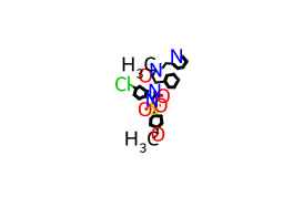 COc1ccc(S(=O)(=O)n2c(=O)n(C(C(=O)N(C)CCc3ccccn3)c3ccccc3)c3cc(Cl)ccc32)cc1